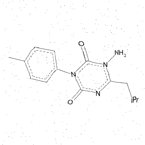 Cc1ccc(-n2c(=O)nc(CC(C)C)n(N)c2=O)cc1